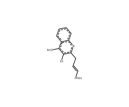 CCCCCCC=CCc1nc2ccccc2c(OC(C)=O)c1CC